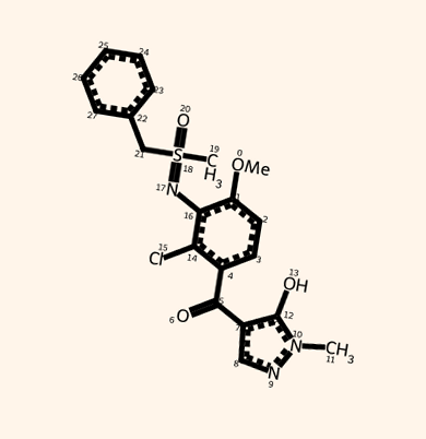 COc1ccc(C(=O)c2cnn(C)c2O)c(Cl)c1N=S(C)(=O)Cc1ccccc1